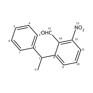 CC(c1ccccc1)c1cccc([N+](=O)[O-])c1[C]=O